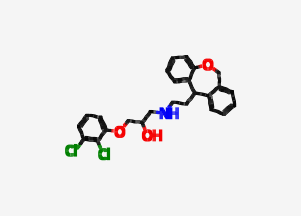 OC(CNCCC1c2ccccc2COc2ccccc21)COc1cccc(Cl)c1Cl